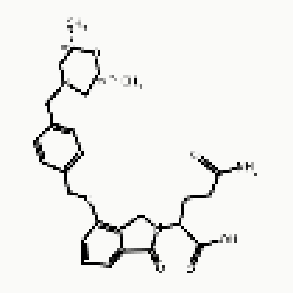 C[C@@H]1CN(Cc2ccc(COc3cccc4c3CN(C(CCC(N)=O)C(=O)O)C4=O)cc2)C[C@H](C)O1